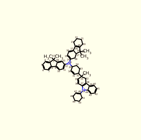 CC1(C)c2ccccc2-c2ccc(N(C3=CC=C4C5=C(CCCC5)C(C)(C)C4C3)C3C=CC(C4(C)C=Cc5c(c6ccccc6n5C5=CCCCC5)C4)CC3)cc21